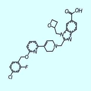 O=C(O)c1ccc2nc(CN3CC=C(c4cccc(OCc5ccc(Cl)cc5F)n4)CC3)n(CC3CCO3)c2c1